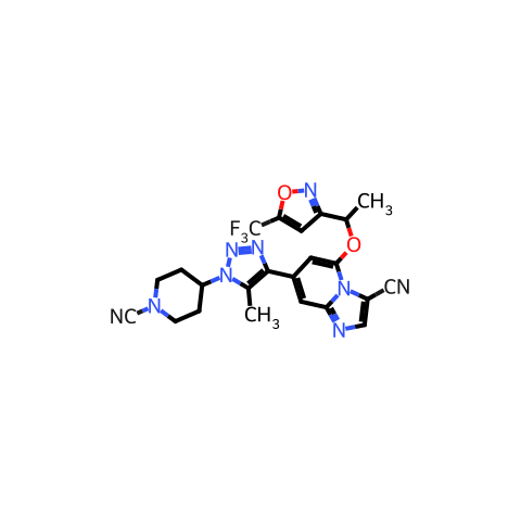 Cc1c(-c2cc(OC(C)c3cc(C(F)(F)F)on3)n3c(C#N)cnc3c2)nnn1C1CCN(C#N)CC1